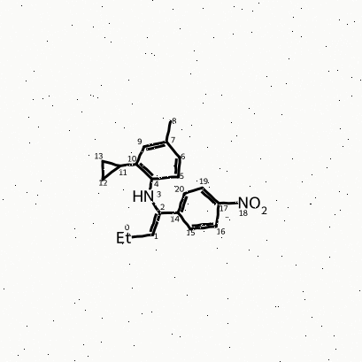 CC/C=C(\Nc1ccc(C)cc1C1CC1)c1ccc([N+](=O)[O-])cc1